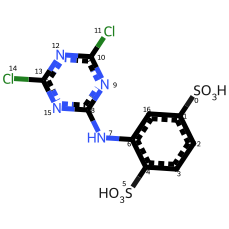 O=S(=O)(O)c1ccc(S(=O)(=O)O)c(Nc2nc(Cl)nc(Cl)n2)c1